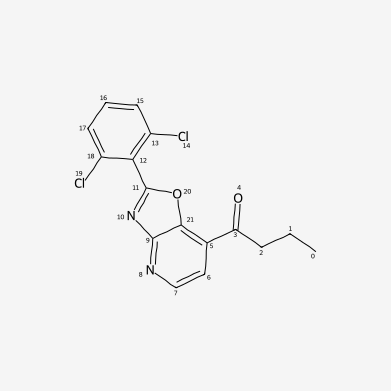 CCCC(=O)c1ccnc2nc(-c3c(Cl)cccc3Cl)oc12